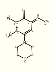 C=C(OCC)C(/C=C(\NN)N1CCOCC1)=N/C(C)C